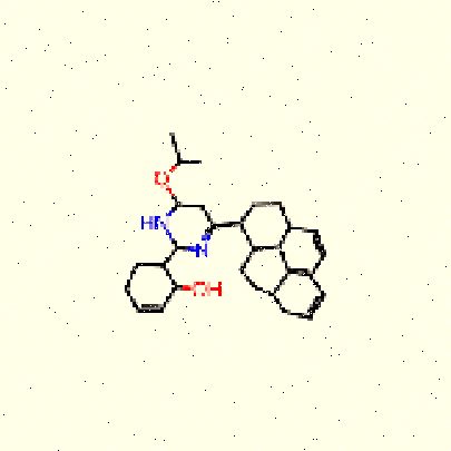 CC(C)OC1CC(C2CCC3C=CC4=C5C(CC=C4)CCC2C53)=NC(C2CCC=CC2O)N1